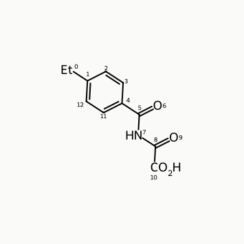 CCc1ccc(C(=O)NC(=O)C(=O)O)cc1